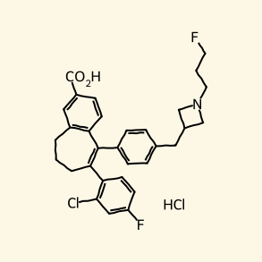 Cl.O=C(O)c1ccc2c(c1)CCCC(c1ccc(F)cc1Cl)=C2c1ccc(CC2CN(CCCF)C2)cc1